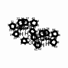 O=C(O)c1ccccc1C(=O)O.c1ccc([PH](PNP[PH](c2ccccc2)(c2ccccc2)c2ccccc2)(c2ccccc2)c2ccccc2)cc1.c1ccc([PH](PNP[PH](c2ccccc2)(c2ccccc2)c2ccccc2)(c2ccccc2)c2ccccc2)cc1